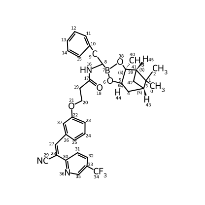 CC1(C)[C@@H]2C[C@H]3OB(C(Cc4ccccc4)NC(=O)CCOc4cccc(C=C(C#N)c5ccc(C(F)(F)F)cn5)c4)O[C@@]3(C)[C@H]1C2